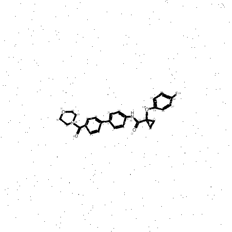 O=C(c1ccc(-c2ccc(NC(=O)C3(Oc4ccc(F)cc4)CC3)cc2)cc1)N1CCOCC1